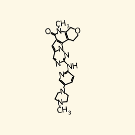 CN1CCN(c2ccc(Nc3ncc4cc5c(=O)n(C)c6c(c5n4n3)CCOC6)nc2)CC1